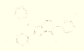 COc1ncc(-c2cc3c(=O)n(-c4c(C)ccc(O)c4C)cnc3n2S(=O)(=O)c2ccc(C)cc2)cn1